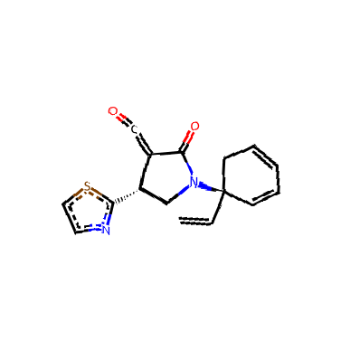 C=C[C@@]1(N2C[C@H](c3nccs3)C(=C=O)C2=O)C=CC=CC1